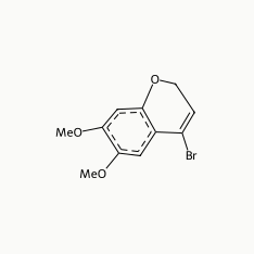 COc1cc2c(cc1OC)C(Br)=CCO2